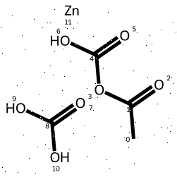 CC(=O)OC(=O)O.O=C(O)O.[Zn]